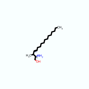 CCCCCCCCCCCC/C=C/C(C)[C@@H](N)CO